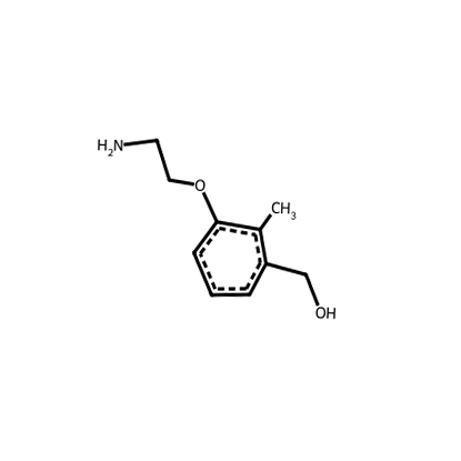 Cc1c(CO)cccc1OCCN